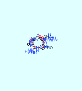 CC(=O)N[C@@H](CCCNC(=N)N)C(=O)NC1CCC(=O)NCCCC(C(N)=O)N[S+]([O-])[C@H](Cc2c[nH]c3ccccc23)NC(=O)[C@H](CCCNC(=N)N)NC(=O)C(Cc2ccccc2)NC(=O)[C@H](CCNC=O)NC1=O